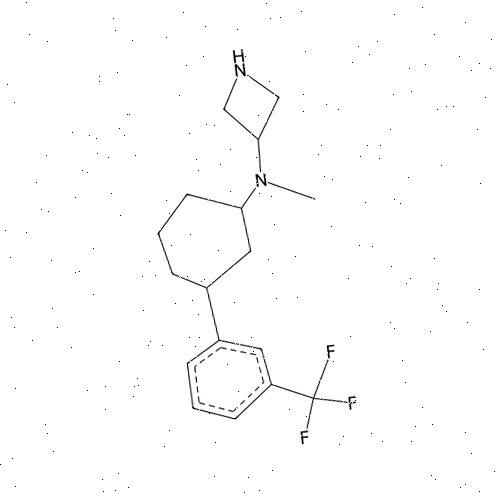 CN(C1CNC1)C1CCCC(c2cccc(C(F)(F)F)c2)C1